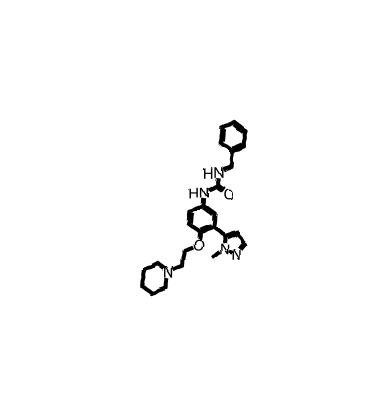 Cn1nccc1-c1cc(NC(=O)NCc2ccccc2)ccc1OCCN1CCCCC1